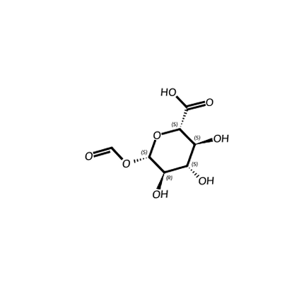 O=CO[C@@H]1O[C@H](C(=O)O)[C@@H](O)[C@H](O)[C@H]1O